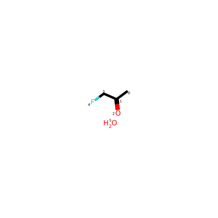 CC(=O)CF.O